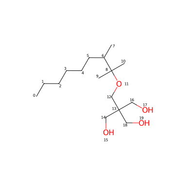 CCCCCCC(C)C(C)(C)OCC(CO)(CO)CO